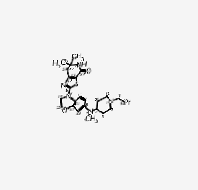 CC(C)CN1CCC(N(C)c2ccc3c(c2)OCCN3c2nc3c(s2)C(=O)NC(C)(C)C3)CC1